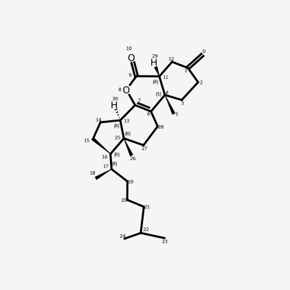 C=C1CC[C@]2(C)C3=C(OC(=O)[C@@H]2C1)[C@@H]1CC[C@H]([C@H](C)CCCC(C)C)[C@@]1(C)CC3